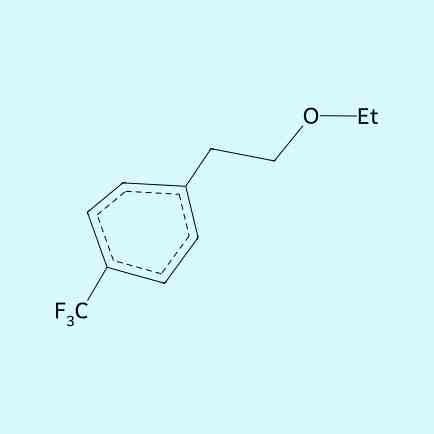 CCOCCc1ccc(C(F)(F)F)cc1